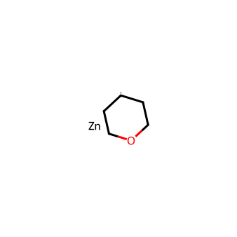 [CH]1CCOCC1.[Zn]